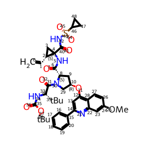 C=C[C@@H]1C[C@]1(NC(=O)[C@@H]1C[C@@H](Oc2cc(-c3ccccc3)nc3cc(OC)ccc23)CN1C(=O)[C@@H](NC(=O)OC(C)(C)C)C(C)(C)C)C(=O)NS(=O)(=O)C1CC1